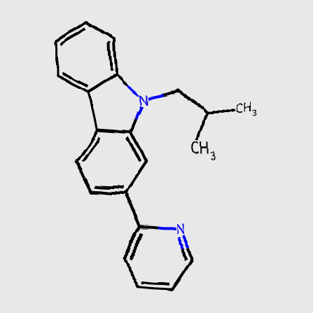 CC(C)Cn1c2ccccc2c2ccc(-c3ccccn3)cc21